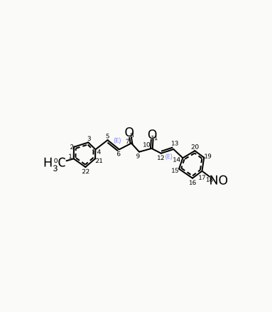 Cc1ccc(/C=C/C(=O)CC(=O)/C=C/c2ccc(N=O)cc2)cc1